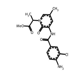 COC(=O)C(C)n1cc(C)cc(NC(=O)c2ccc(N)c(Cl)c2)c1=O